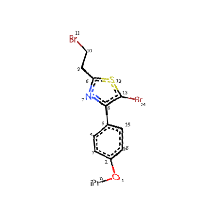 CC(C)Oc1ccc(-c2nc(CCBr)sc2Br)cc1